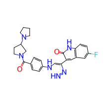 N=N/C(=C\Nc1ccc(C(=O)N2CCC(N3CCCC3)C2)cc1)c1cc2cc(F)ccc2[nH]c1=O